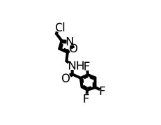 O=C(NCc1cc(CCl)no1)c1cc(F)c(F)cc1F